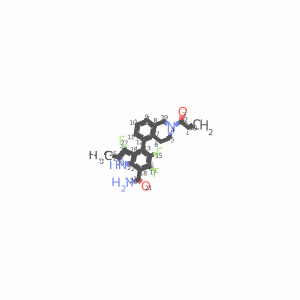 C=CC(=O)N1CCc2c(cccc2-c2c(F)c(F)c(C(N)=O)c3[nH]c(C)c(F)c23)C1